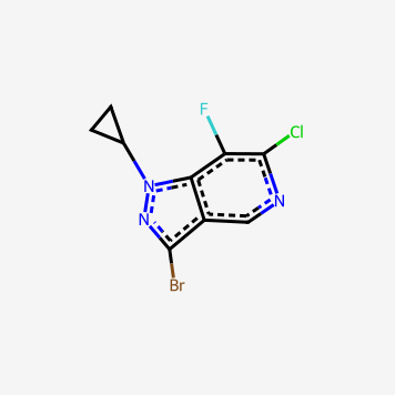 Fc1c(Cl)ncc2c(Br)nn(C3CC3)c12